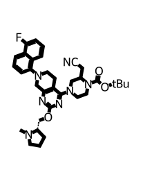 CN1CCC[C@H]1COc1nc2c(c(N3CCN(C(=O)OC(C)(C)C)C(CC#N)C3)n1)CCN(c1cccc3c(F)cccc13)C2